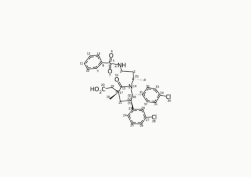 C[C@@H](CCNS(=O)(=O)c1ccccc1)N1C(=O)[C@@](C)(CC(=O)O)C[C@H](c2cccc(Cl)c2)[C@H]1c1ccc(Cl)cc1